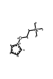 C[N+](C)(C)CCOn1cccc1